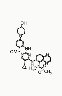 COc1ccc(N2CCC(O)CC2)cc1Nc1ncc(C2CC2)c(Nc2ccc3nccnc3c2N(C)S(C)(=O)=O)n1